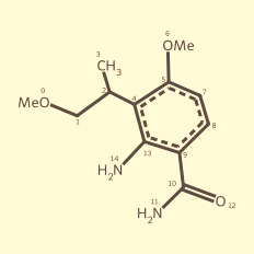 COCC(C)c1c(OC)ccc(C(N)=O)c1N